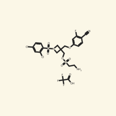 N#Cc1ccc(OCC2(COS(=O)(=O)CCN)CN(S(=O)(=O)c3ccc(Cl)cc3Cl)C2)cc1F.O=C(O)C(F)(F)F